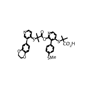 CSc1ccc(-c2c(SC(C)(C)C(=O)O)ccnc2OC(=O)C(C)(C)Sc2ccncc2-c2ccc3c(c2)OCCO3)cc1